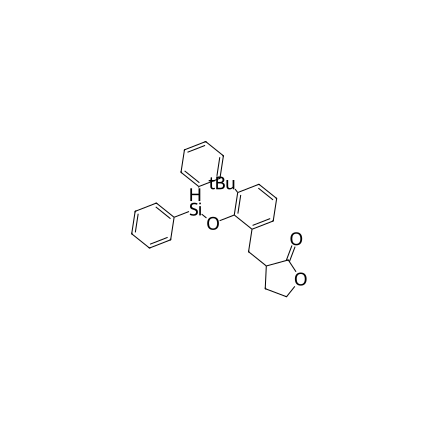 CC(C)(C)c1cccc(CC2CCOC2=O)c1O[SiH](c1ccccc1)c1ccccc1